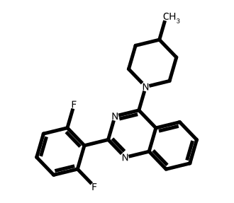 CC1CCN(c2nc(-c3c(F)cccc3F)nc3ccccc23)CC1